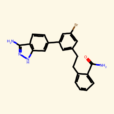 NC(=O)c1ccccc1C[CH]c1cc(Br)cc(-c2ccc3c(N)n[nH]c3c2)c1